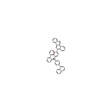 c1ccc(-c2ccccc2N(c2ccc(-c3cccc4ccccc34)cc2)c2ccc(-c3cc4c5ccccc5sc4c4ccccc34)cc2)cc1